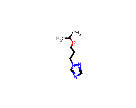 CC(C)OCCCn1cncn1